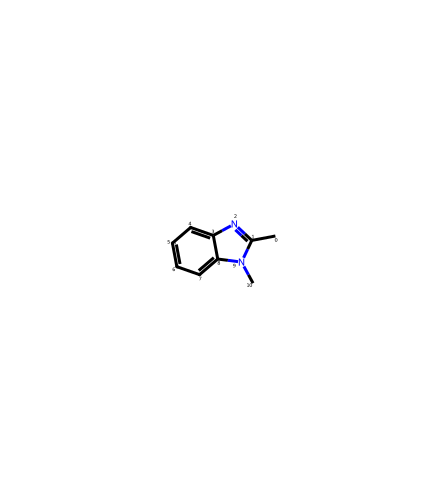 Cc1nc2c[c]ccc2n1C